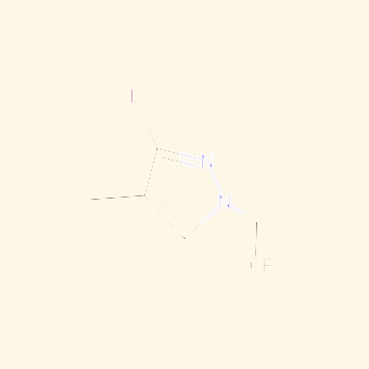 Cc1cn(CC(F)(F)F)nc1I